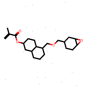 C=C(C)C(=O)OC1CCC2C(COCC3CCC4OC4C3)CCCC2C1